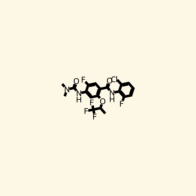 CC(Oc1cc(NC(=O)N(C)C)c(F)cc1C(=O)Nc1c(F)cccc1Cl)C(F)(F)F